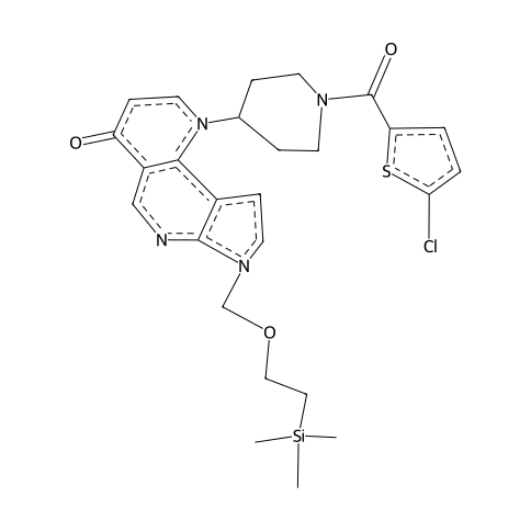 C[Si](C)(C)CCOCn1ccc2c1ncc1c(=O)ccn(C3CCN(C(=O)c4ccc(Cl)s4)CC3)c12